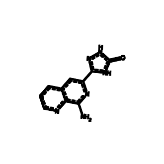 Nc1nc(-c2n[nH]c(=O)[nH]2)cc2cccnc12